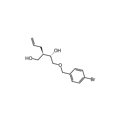 C=CC[C@H](CO)[C@H](O)COCc1ccc(Br)cc1